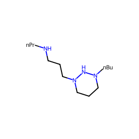 CCCCN1CCCN(CCCNCCC)N1